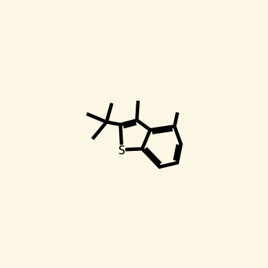 Cc1cccc2sc(C(C)(C)C)c(C)c12